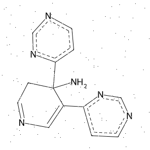 NC1(c2ccncn2)CC=NC=C1c1ccncn1